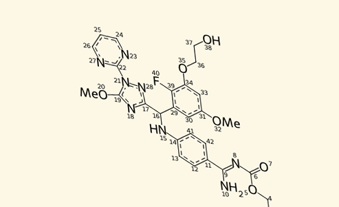 CCC(C)(C)COC(=O)N=C(N)c1ccc(NC(c2nc(OC)n(-c3ncccn3)n2)c2cc(OC)cc(OCCO)c2F)cc1